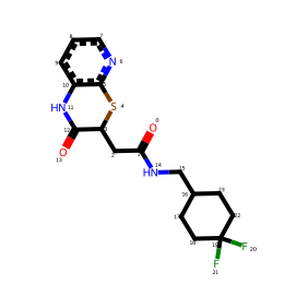 O=C(CC1Sc2ncccc2NC1=O)NCC1CCC(F)(F)CC1